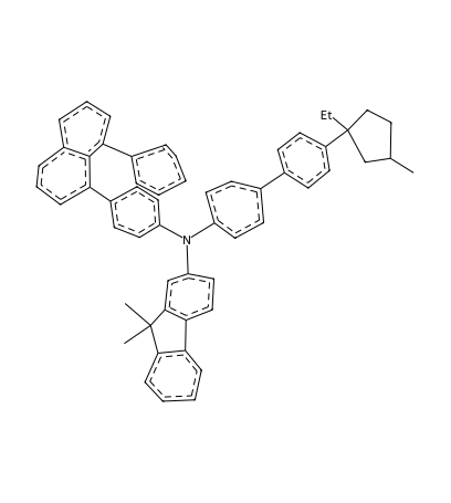 CCC1(c2ccc(-c3ccc(N(c4ccc(-c5cccc6cccc(-c7ccccc7)c56)cc4)c4ccc5c(c4)C(C)(C)c4ccccc4-5)cc3)cc2)CCC(C)C1